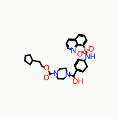 O=C(OCCC1CCCC1)N1CCN(C(O)C2=CCC(NS(=O)(=O)c3cccc4cccnc34)C=C2)CC1